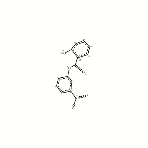 O=C(Oc1cccc([N+](=O)[O-])c1)c1ccccc1O